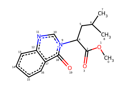 COC(=O)C(CC(C)C)n1cnc2ccccc2c1=O